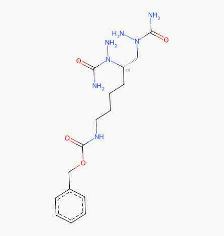 NC(=O)N(N)C[C@H](CCCCNC(=O)OCc1ccccc1)N(N)C(N)=O